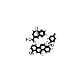 Cc1ccc(S(=O)(=O)C2=c3ccc4c(c3CCC2)C(=O)C=c2c(Cl)cccc2=4)cc1.O=C(O)C1=Cc2ccccc2NC=C1